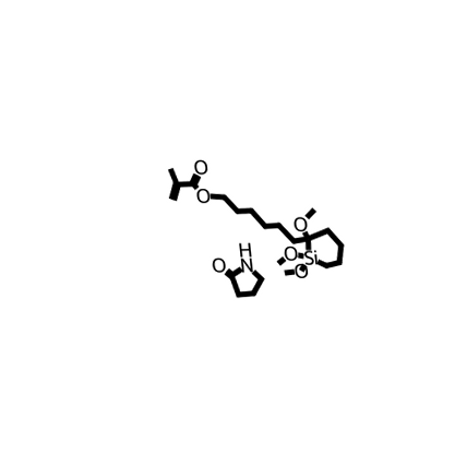 C=C(C)C(=O)OCCCCCCC1(OC)CCCC[Si]1(OC)OC.O=C1CCCN1